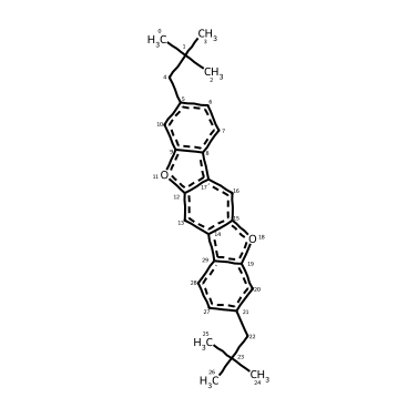 CC(C)(C)Cc1ccc2c(c1)oc1cc3c(cc12)oc1cc(CC(C)(C)C)ccc13